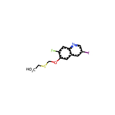 O=C(O)CSCOc1cc2cc(I)cnc2cc1F